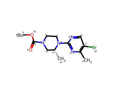 Cc1nc(N2CCN(C(=O)OC(C)(C)C)C[C@H]2C)ncc1Br